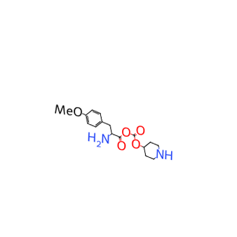 COc1ccc(CC(N)C(=O)OC(=O)OC2CCNCC2)cc1